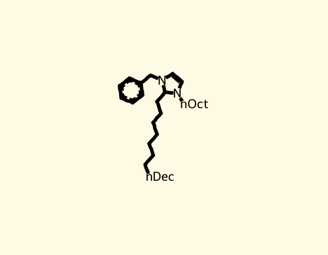 CCCCCCCCCCCCCCCCCC1N(CCCCCCCC)C=CN1Cc1ccccc1